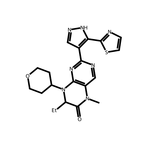 CCC1C(=O)N(C)c2cnc(-c3cn[nH]c3-c3nccs3)nc2N1C1CCOCC1